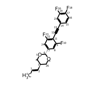 CC=C[C@H]1CO[C@H](c2cc(F)c(C#Cc3ccc(F)c(F)c3)c(F)c2)OC1